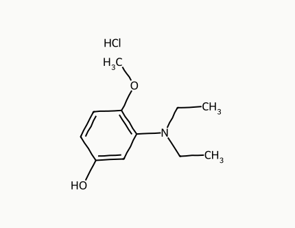 CCN(CC)c1cc(O)ccc1OC.Cl